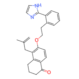 C=C(C)Cc1c(OCCc2ccccc2-c2ncc[nH]2)ccc2c1CCCC2=O